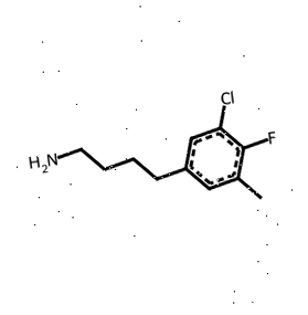 Cc1cc(CCCCN)cc(Cl)c1F